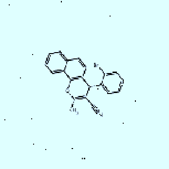 N#CC1=C(N)Oc2c(ccc3ccccc23)C1c1ccccc1Br